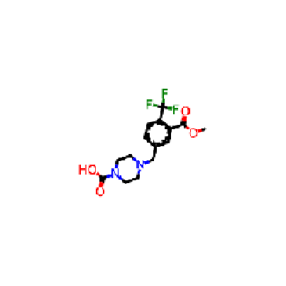 COC(=O)c1cc(CN2CCN(C(=O)O)CC2)ccc1C(F)(F)F